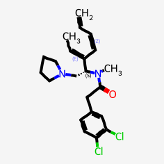 C=C/C=C\C(=C/C)[C@@H](CN1CCCC1)N(C)C(=O)Cc1ccc(Cl)c(Cl)c1